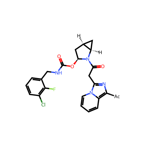 CC(=O)c1nc(CC(=O)N2[C@@H](OC(=O)NCc3cccc(Cl)c3F)C[C@H]3C[C@H]32)n2ccccc12